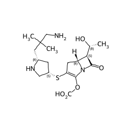 C[C@@H](O)[C@H]1C(=O)N2C(OC(=O)O)=C(S[C@@H]3CN[C@H](CC(C)(C)CN)C3)C[C@H]12